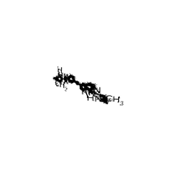 C[C@]12CC1N[C@H](c1nc3cc(C#Cc4ccc5c(ccc6nc([C@@H]7C[C@@]8(C)CC8N7)[nH]c65)c4)ccc3[nH]1)C2